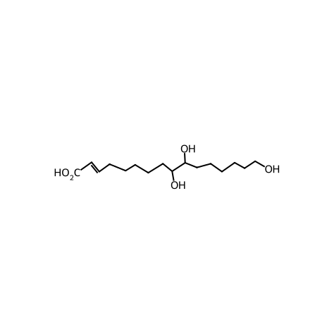 O=C(O)C=CCCCCCC(O)C(O)CCCCCCO